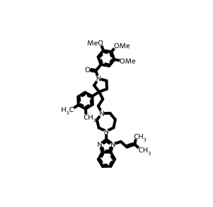 COc1cc(C(=O)N2CCC(CCN3CCCN(c4nc5ccccc5n4CC=C(C)C)CC3)(c3ccc(C)c(C)c3)C2)cc(OC)c1OC